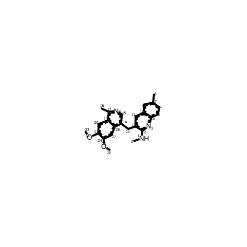 CNc1nc2ccc(C)cc2cc1Cc1cnc(C)c2cc(OC)c(OC)cc12